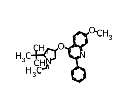 CCN1CC(Oc2cc(-c3ccccc3)nc3cc(OC)ccc23)CC1C(C)(C)C